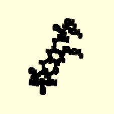 COc1cc2c(cc1CNC(=O)C(C)C)Cc1c([nH]c(=O)[nH]c1=O)O2